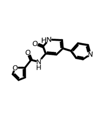 O=C(Nc1cc(-c2ccncc2)c[nH]c1=O)c1ccco1